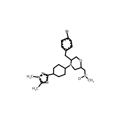 Cc1nc(C2CCC(N3CC(C[S+](C)[O-])OCC3Cc3ccc(Br)cc3)CC2)nn1C